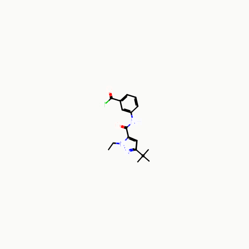 CCn1nc(C(C)(C)C)cc1C(=O)Nc1cccc(C(=O)Cl)c1